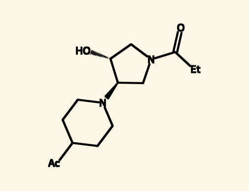 CCC(=O)N1C[C@@H](O)[C@H](N2CCC(C(C)=O)CC2)C1